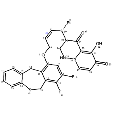 CC[C@@H](/C=C\COc1cc(F)c(F)c2c1Cc1ccccc1SC2)N1CNn2ccc(=O)c(O)c2C1=O